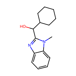 Cn1c(C(O)C2CCCCC2)nc2ccccc21